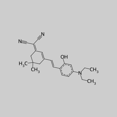 CCN(CC)c1ccc(/C=C/C2=CC(=C(C#N)C#N)CC(C)(C)C2)c(O)c1